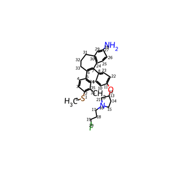 CSc1ccc(C2=C(c3ccc(OC4CCN(CCCF)C4)cc3)c3ccc(N)cc3CCC2)cc1C